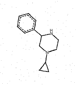 c1ccc(C2CN(C3CC3)CCN2)cc1